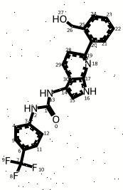 O=C(Nc1ccc(C(F)(F)F)cc1)Nc1c[nH]c2nc(-c3ccccc3CO)ccc12